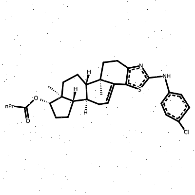 CCCC(=O)O[C@H]1CC[C@H]2[C@@H]3CC=C4c5sc(Nc6ccc(Cl)cc6)nc5CC[C@]4(C)[C@H]3CC[C@]12C